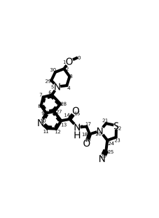 COC1CCN(c2ccc3nccc(C(=O)NCC(=O)N4CSCC4C#N)c3c2)CC1